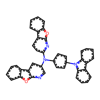 c1ccc2c(c1)oc1ncc(N(c3ccc(-n4c5ccccc5c5ccccc54)cc3)c3ccc4c(n3)oc3ccccc34)cc12